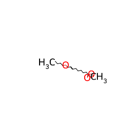 CCCCCOCC=CCCCCCC(=O)OC